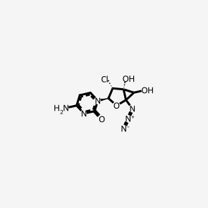 [N-]=[N+]=NC12O[C@@H](n3ccc(N)nc3=O)[C@H](Cl)[C@@]1(O)C2O